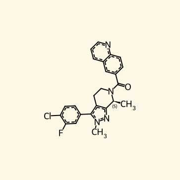 C[C@H]1c2nn(C)c(-c3ccc(Cl)c(F)c3)c2CCN1C(=O)c1ccc2ncccc2c1